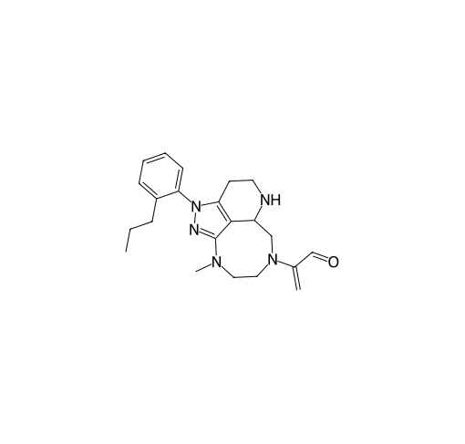 C=C(C=O)N1CCN(C)c2nn(-c3ccccc3CCC)c3c2C(C1)NCC3